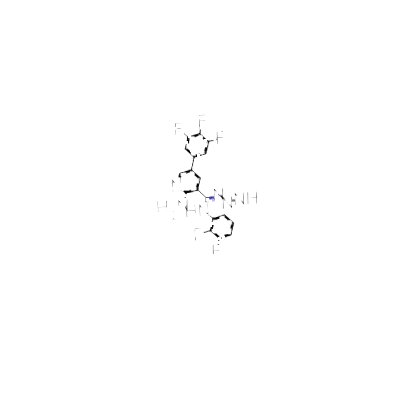 N=N/N=C(\Nc1cccc(F)c1F)c1cc(-c2cc(F)c(F)c(F)c2)cnc1N